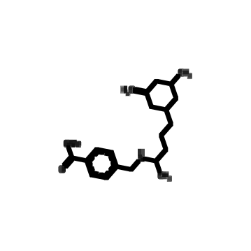 C=C1CC(C)CC(CCCC(C)NCc2ccc(C(=O)OC)cc2)C1